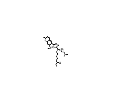 CCC(=O)CCCCC[C@H](NCCN(C)C)c1ncc(-c2cc3ccc(C)nc3cc2OC)[nH]1